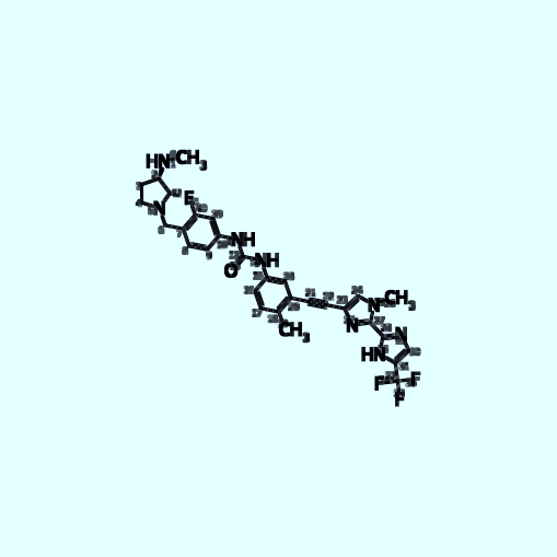 CN[C@@H]1CCN(Cc2ccc(NC(=O)Nc3ccc(C)c(C#Cc4cn(C)c(-c5ncc(C(F)(F)F)[nH]5)n4)c3)cc2F)C1